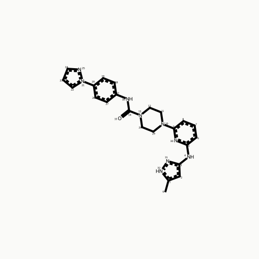 Cc1cc(Nc2cccc(N3CCN(C(=O)Nc4ccc(-n5cccn5)cc4)CC3)n2)n[nH]1